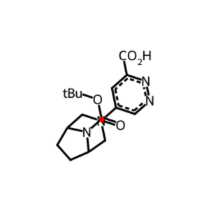 CC(C)(C)OC(=O)N1C2CCC1CN(c1cnnc(C(=O)O)c1)C2